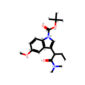 CCC(C(=O)N(C)C)c1cn(C(=O)OC(C)(C)C)c2ccc(OC)cc12